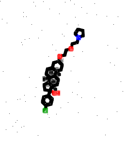 C[C@]12CC[C@H](OCCOCCN3CCCC3)CC1=CC[C@@H]1[C@@H]2CC[C@@]2(C)[C@H]1CC[C@@]2(O)c1ccc(Cl)cc1